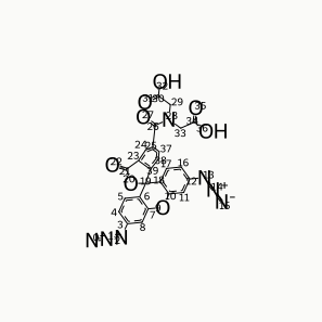 [N-]=[N+]=Nc1ccc2c(c1)Oc1cc(N=[N+]=[N-])ccc1C21OC(=O)c2cc(C(=O)N(CC(=O)O)CC(=O)O)ccc21